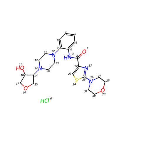 Cl.O=C(Nc1ccccc1N1CCN(C2COCC2O)CC1)c1csc(N2CCOCC2)n1